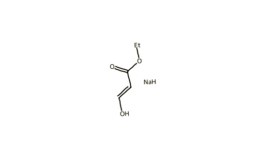 CCOC(=O)/C=C/O.[NaH]